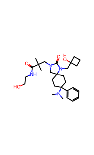 CN(C)[C@]1(c2ccccc2)CC[C@@]2(CC1)CN(CC(C)(C)C(=O)NCCO)C(=O)N2CC1(O)CCC1